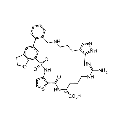 Cc1[nH]ncc1CCCNCc1ccccc1-c1cc2c(c(S(=O)(=O)Nc3ccsc3C(=O)N[C@@H](CCCNC(=N)N)C(=O)O)c1)OCC2